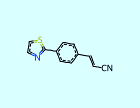 N#CC=Cc1ccc(-c2nccs2)cc1